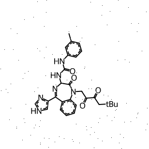 Cc1cccc(NC(=O)NC2N=C(c3c[nH]cn3)c3ccccc3N(CC(=O)C(=O)CC(C)(C)C)C2=O)c1